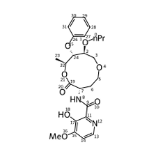 CCCO[C@H]1COCC[C@H](NC(=O)c2nccc(OC)c2O)C(=O)O[C@@H](C)[C@@H]1Oc1ccccc1